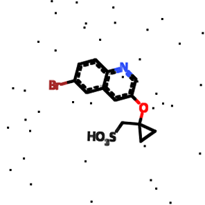 O=S(=O)(O)CC1(Oc2cnc3ccc(Br)cc3c2)CC1